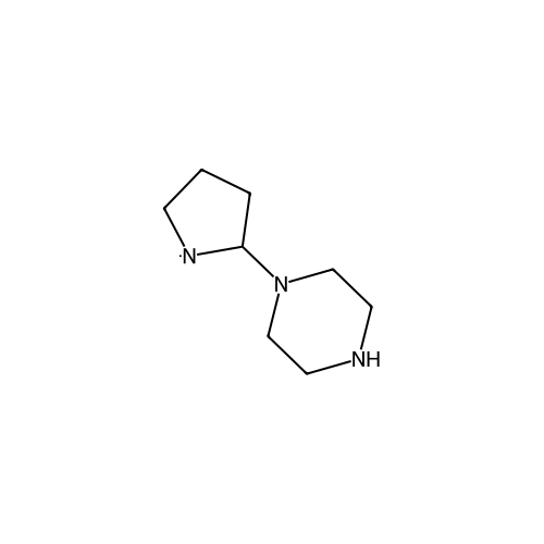 C1C[N]C(N2CCNCC2)C1